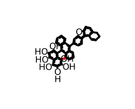 Oc1c(O)c(O)c2c(-c3c4ccccc4c(-c4ccc5c(c4)oc4ccc6c(c45)C=CCC6)c4ccccc34)c(O)c(O)c(O)c2c1O